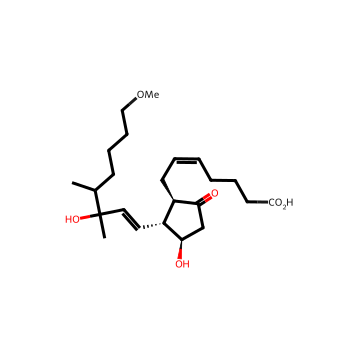 COCCCCC(C)C(C)(O)/C=C/[C@H]1[C@H](O)CC(=O)[C@@H]1C/C=C\CCCC(=O)O